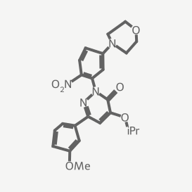 COc1cccc(-c2cc(OC(C)C)c(=O)n(-c3cc(N4CCOCC4)ccc3[N+](=O)[O-])n2)c1